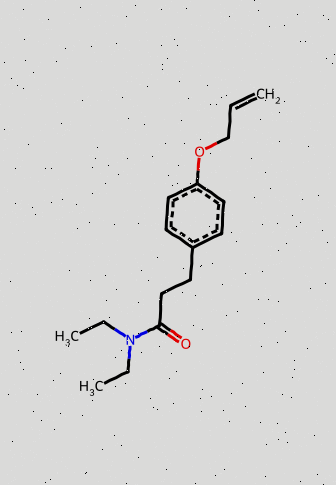 C=CCOc1ccc(CCC(=O)N(CC)CC)cc1